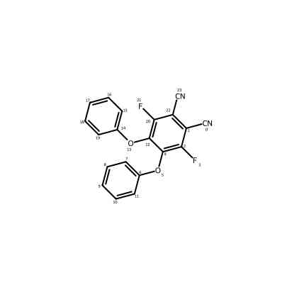 N#Cc1c(F)c(Oc2ccccc2)c(Oc2ccccc2)c(F)c1C#N